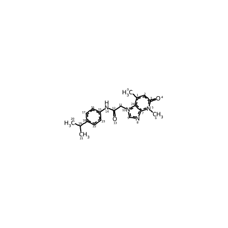 Cc1cc(=O)n(C)c2ncn(CC(=O)Nc3ccc(C(C)C)cc3)c12